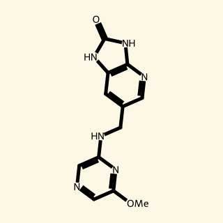 COc1cncc(NCc2cnc3[nH]c(=O)[nH]c3c2)n1